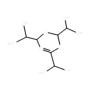 CC(C)C1=PC(C(C)C)OC(C(C)C)O1